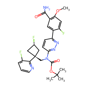 COc1cc(F)c(-c2ccc(N(C[C@]3(c4ncccc4F)C[C@H](F)C3)C(=O)OC(C)(C)C)nn2)cc1C(N)=O